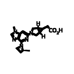 C[C@H]1CCN1c1nc(N2C[C@@H]3C(CC(=O)O)[C@@H]3C2)cc2c1ncn2C